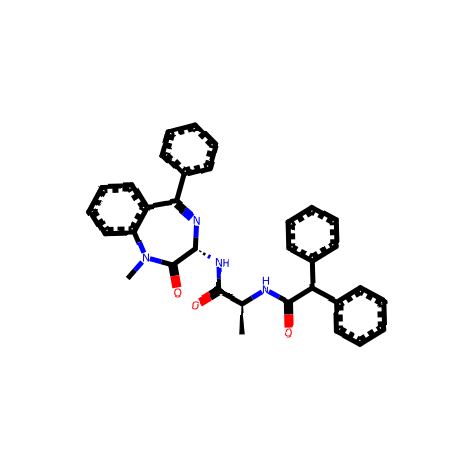 C[C@H](NC(=O)C(c1ccccc1)c1ccccc1)C(=O)N[C@H]1N=C(c2ccccc2)c2ccccc2N(C)C1=O